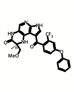 COC[C@]1(C)Nc2c(cnc3[nH]cc(C(=O)c4ccc(Oc5ccccc5)cc4C(F)(F)F)c23)NC1=O